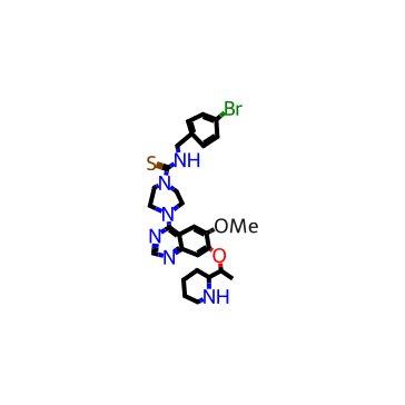 COc1cc2c(N3CCN(C(=S)NCc4ccc(Br)cc4)CC3)ncnc2cc1OC(C)C1CCCCN1